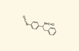 O=C=Nc1ccc(C(Cc2ccccc2)N=C=O)cc1